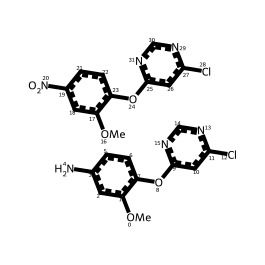 COc1cc(N)ccc1Oc1cc(Cl)ncn1.COc1cc([N+](=O)[O-])ccc1Oc1cc(Cl)ncn1